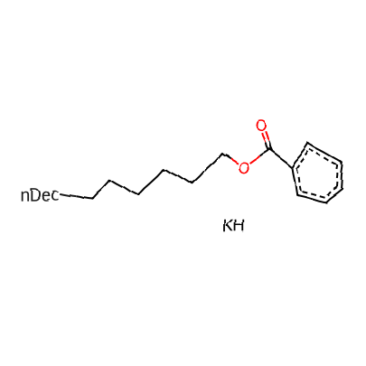 CCCCCCCCCCCCCCCCOC(=O)c1ccccc1.[KH]